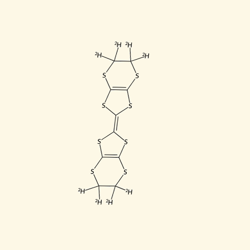 [2H]C1([2H])SC2=C(SC(=C3SC4=C(S3)SC([2H])([2H])C([2H])([2H])S4)S2)SC1([2H])[2H]